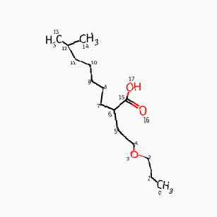 CCCOCCC(CCCCCC(C)C)C(=O)O